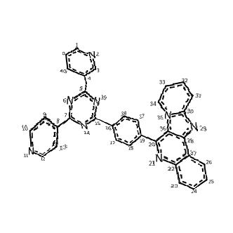 c1cncc(-c2nc(-c3ccncc3)nc(-c3ccc(-c4nc5ccccc5c5nc6ccccn6c45)cc3)n2)c1